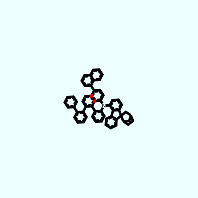 c1ccc(-c2ccccc2-c2ccccc2-c2ccccc2N(c2ccc(-c3cccc4ccccc34)cc2)c2cccc3c2-c2ccccc2C32CC3CCC2C3)cc1